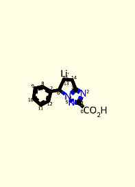 O=C(O)c1nc2n(n1)C(c1ccccc1)CC2.[Li]